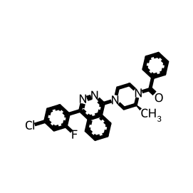 C[C@H]1CN(c2nnc(-c3ccc(Cl)cc3F)c3ccccc23)CCN1C(=O)c1ccccc1